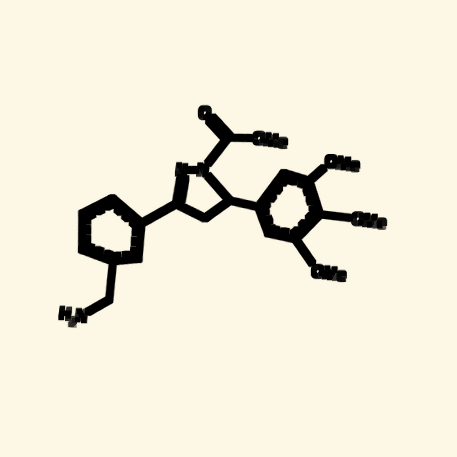 COC(=O)N1N=C(c2cccc(CN)c2)CC1c1cc(OC)c(OC)c(OC)c1